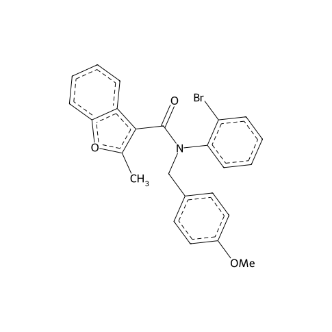 COc1ccc(CN(C(=O)c2c(C)oc3ccccc23)c2ccccc2Br)cc1